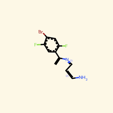 C=C(/N=C\C=C/N)c1cc(F)c(Br)cc1F